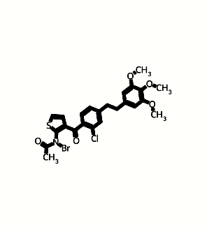 COc1cc(CCc2ccc(C(=O)c3ccsc3N(Br)C(C)=O)c(Cl)c2)cc(OC)c1OC